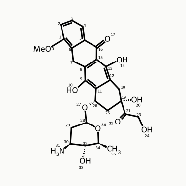 COc1cccc2c1Cc1c(O)c3c(c(O)c1C2=O)C[C@@](O)(C(=O)CO)C[C@@H]3OC1C[C@H](N)[C@@H](O)[C@H](C)O1